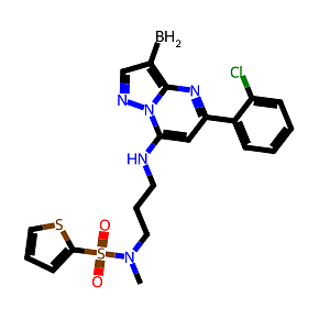 Bc1cnn2c(NCCCN(C)S(=O)(=O)c3cccs3)cc(-c3ccccc3Cl)nc12